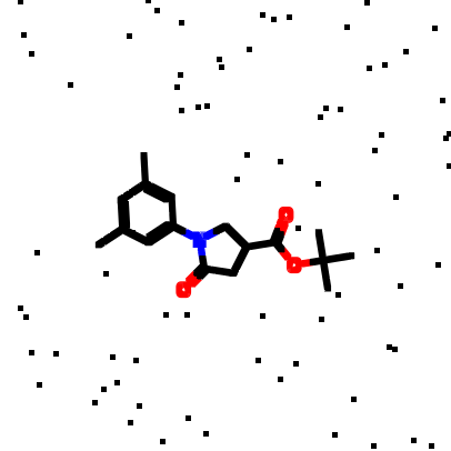 Cc1cc(C)cc(N2CC(C(=O)OC(C)(C)C)CC2=O)c1